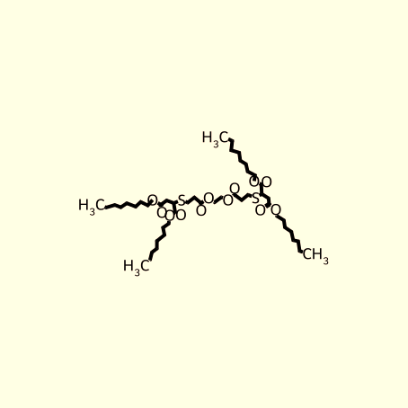 CCCCCCCCOC(=O)CC(SCCC(=O)OCCOC(=O)CCSC(CC(=O)OCCCCCCCC)C(=O)OCCCCCCCC)C(=O)OCCCCCCCC